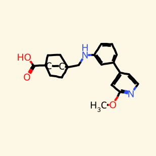 COc1cc(-c2cccc(NCC34CCC(C(=O)O)(CC3)CC4)c2)ccn1